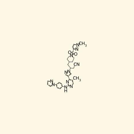 Cc1cnc(Nc2ccc(-n3cccn3)cc2)nc1-c1cnn(C(CC#N)CC2CCN(S(=O)(=O)c3ccn(C)n3)CC2)c1